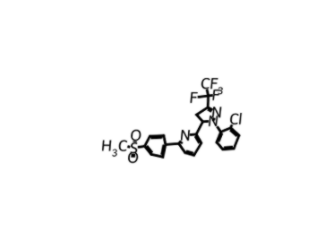 CS(=O)(=O)c1ccc(-c2cccc(C3CC(C(F)(F)C(F)(F)F)=NN3c3ccccc3Cl)n2)cc1